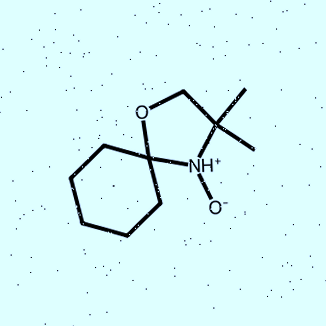 CC1(C)COC2(CCCCC2)[NH+]1[O-]